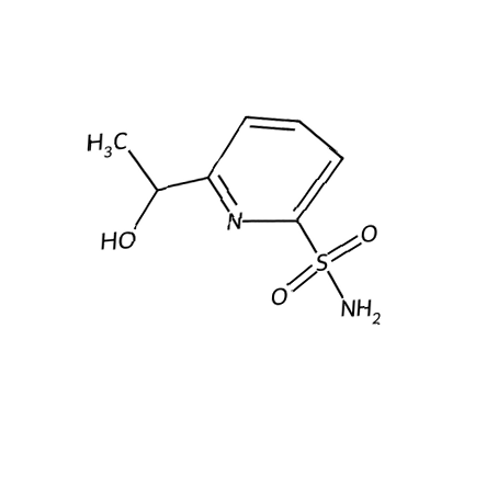 CC(O)c1cccc(S(N)(=O)=O)n1